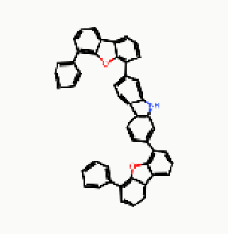 c1ccc(-c2cccc3c2oc2c(-c4ccc5c(c4)[nH]c4cc(-c6cccc7c6oc6c(-c8ccccc8)cccc67)ccc45)cccc23)cc1